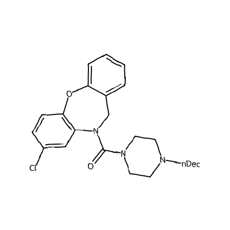 CCCCCCCCCCN1CCN(C(=O)N2Cc3ccccc3Oc3ccc(Cl)cc32)CC1